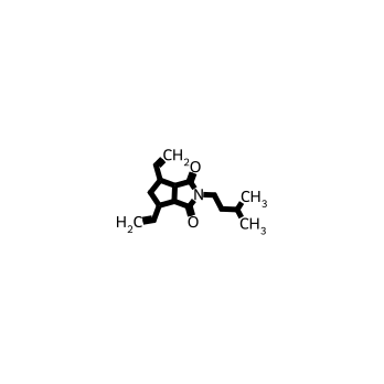 C=CC1CC(C=C)C2C(=O)N(CCC(C)C)C(=O)C12